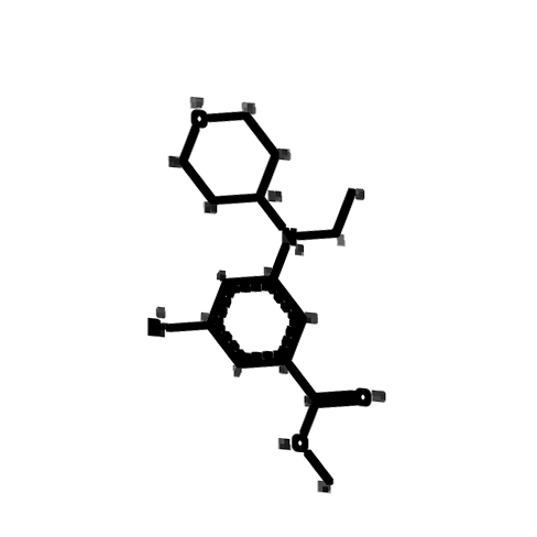 CCN(c1cc(Br)cc(C(=O)OC)c1)C1CCOCC1